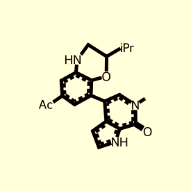 CC(=O)c1cc2c(c(-c3cn(C)c(=O)c4[nH]ccc34)c1)OC(C(C)C)CN2